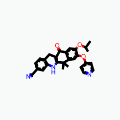 CC(C)Oc1cc2c(cc1Oc1ccncc1)C(C)(C)C1=C(Cc3ccc(C#N)cc3N1)C2=O